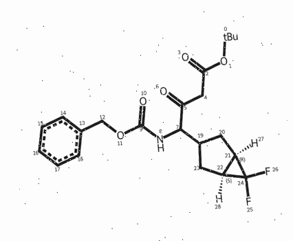 CC(C)(C)OC(=O)CC(=O)C(NC(=O)OCc1ccccc1)C1C[C@@H]2[C@H](C1)C2(F)F